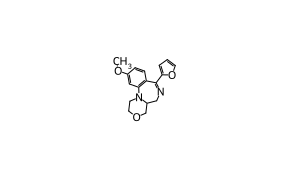 COc1ccc2c(c1)N1CCOCC1CN=C2c1ccco1